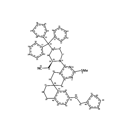 CSc1nc2c(c(N3CCN(C(c4ccccc4)(c4ccccc4)c4ccccc4)C[C@@H]3CC#N)n1)CCC1(CCCc3ccc(OCc4ccccc4)cc31)C2